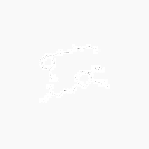 CCN(CC)CCOc1ccc(OC)c([N+](=O)[O-])c1.O=[N+]([O-])c1cccc(OCOCCCl)c1